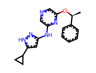 C[C@H](Oc1cncc(Nc2cc(C3CC3)[nH]n2)n1)c1ccccc1